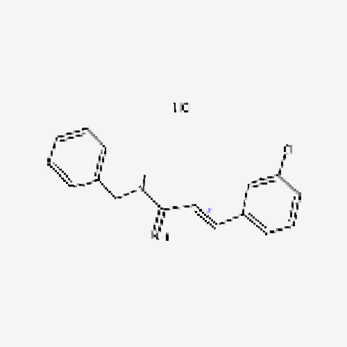 Cl.N=C(/C=C/c1cccc(Cl)c1)NCc1ccccc1